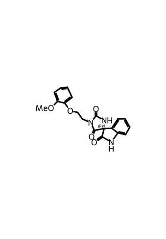 COc1ccccc1OCCN1C(=O)N[C@]2(C(=O)Nc3ccccc32)C1=O